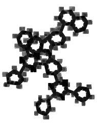 c1ccc(-c2nc(-c3ccccc3)nc(-c3ccc(-n4c5ccccc5c5cc(-c6cccc7ccccc67)ccc54)c(-c4nc(-c5ccccc5)nc(-c5ccccc5)n4)c3)n2)cc1